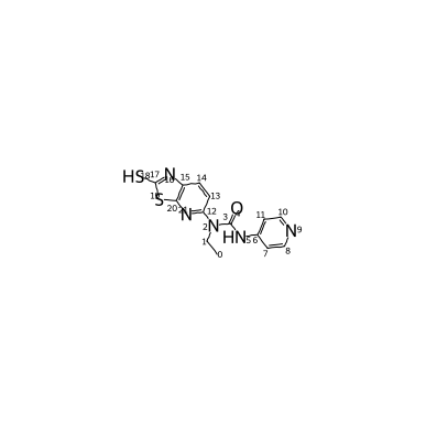 CCN(C(=O)Nc1ccncc1)c1ccc2nc(S)sc2n1